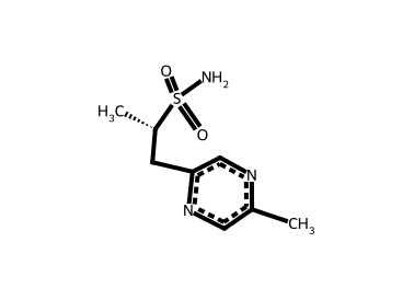 Cc1cnc(C[C@H](C)S(N)(=O)=O)cn1